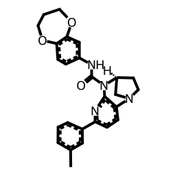 Cc1cccc(-c2ccc3c(n2)N(C(=O)Nc2ccc4c(c2)OCCCO4)[C@H]2CCN3C2)c1